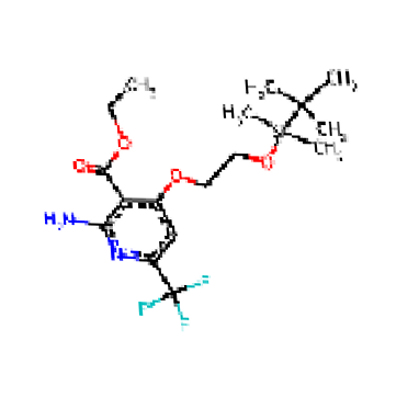 CCOC(=O)c1c(OCCO[Si](C)(C)C(C)(C)C)cc(C(F)(F)F)nc1N